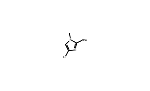 Cn1cc(Cl)nc1C(C)(C)C